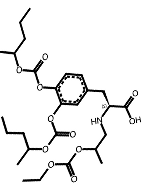 CCCC(C)OC(=O)Oc1ccc(C[C@H](NCC(C)OC(=O)OCC)C(=O)O)cc1OC(=O)OC(C)CCC